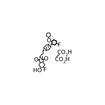 O=C(O)CCC(=O)O.O=C1C2CC(O)C(F)CC2C(=O)N1CCCN1CCN(c2cc(F)ccc2OC2CCCC2)CC1